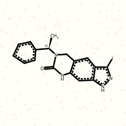 C[C@H](c1ccccc1)N1Cc2cc3c(I)n[nH]c3cc2NC1=O